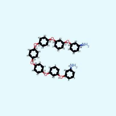 Nc1cccc(Oc2cccc(Oc3ccc(Oc4ccc(Oc5ccc(Oc6cccc(Oc7cccc(N)c7)c6)cc5)cc4)cc3)c2)c1